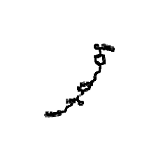 COC(=O)c1ccc(CCCn2cc(CCC(=O)NCCCSC)nn2)cc1